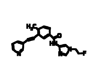 Cc1ccc(C(=O)Nc2cn(CCF)cn2)cc1C#Cc1cccnc1